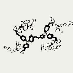 C=C(COC(=O)Cc1ccc(N(c2ccc(CCc3ccc(N(c4ccc(CC(=O)OCC(=C)C(=O)OCC)cc4)c4ccc(CC(=O)OCC(=C)C(=O)OCC)cc4)cc3)cc2)c2ccc(CC(=O)OCC(=C)C(=O)OCC)cc2)cc1)C(=O)OCC